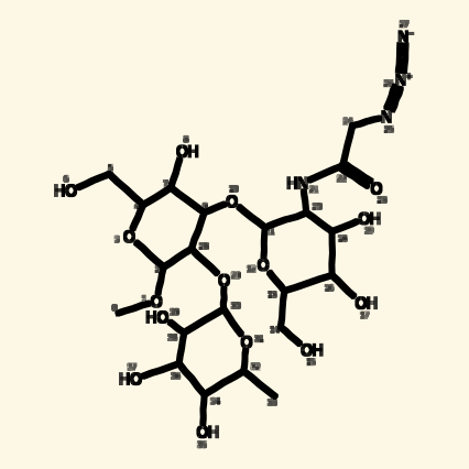 COC1OC(CO)C(O)C(OC2OC(CO)C(O)C(O)C2NC(=O)CN=[N+]=[N-])C1OC1OC(C)C(O)C(O)C1O